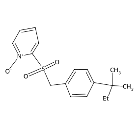 CCC(C)(C)c1ccc(CS(=O)(=O)c2cccc[n+]2[O-])cc1